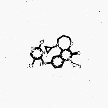 Cn1c(=O)c2c(c3cc(Nc4nc(Cl)ncc4Cl)ccc31)N(C1CC1)CCCO2